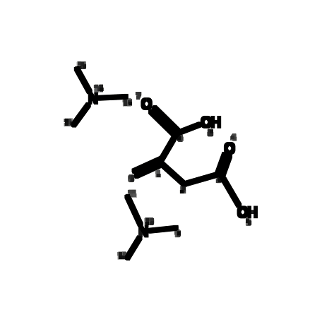 C=C(CC(=O)O)C(=O)O.CN(C)C.CN(C)C